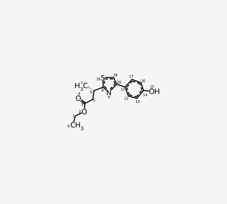 CCOC(=O)C[C@H](C)c1nc(-c2ccc(O)cc2)cs1